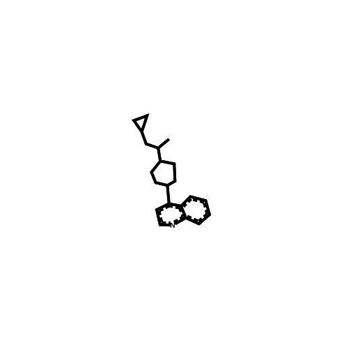 CC(CC1CC1)C1CCC(c2ccnc3ccccc23)CC1